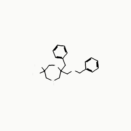 CC1(C)CNCC(COCc2ccccc2)(Cc2ccccc2)OC1